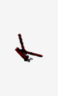 CCCCCCCCCCCCCCCCCC(=O)[O-].CCCCCCCCCCCCCCCCCC(=O)[O-].CCCCCCCCCCCCCCCCCCCCCC(=O)OCC(CO)OC(=O)CCCCCCCCCCCCCCCCCCCCC.[Mg+2]